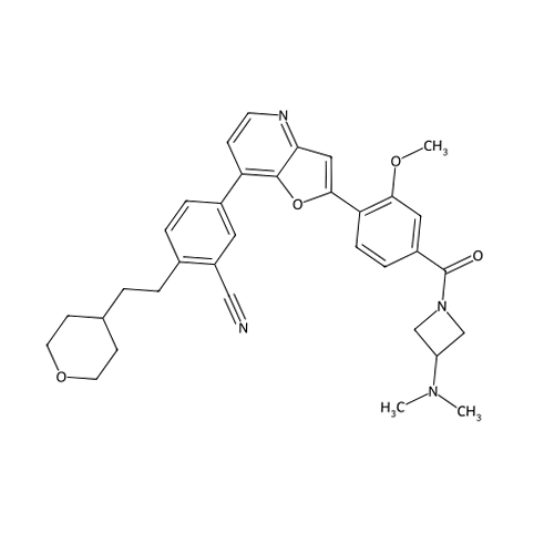 COc1cc(C(=O)N2CC(N(C)C)C2)ccc1-c1cc2nccc(-c3ccc(CCC4CCOCC4)c(C#N)c3)c2o1